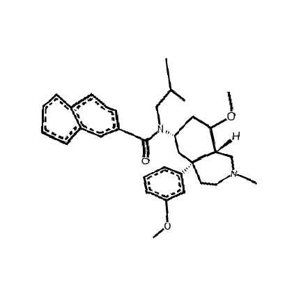 COc1cccc([C@@]23CCN(C)C[C@H]2C(OC)C[C@@H](N(CC(C)C)C(=O)c2ccc4ccccc4c2)C3)c1